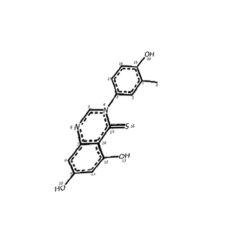 Cc1cc(-n2cnc3cc(O)cc(O)c3c2=S)ccc1O